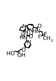 CC(F)(F)CNC(=O)C1C=CC2=C(N1)N(C(=O)Nc1cc(OC[C@H](O)CO)ccn1)[C@H]1CCN2C1